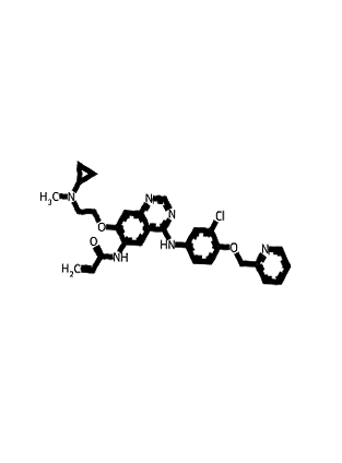 C=CC(=O)Nc1cc2c(Nc3ccc(OCc4ccccn4)c(Cl)c3)ncnc2cc1OCCN(C)C1CC1